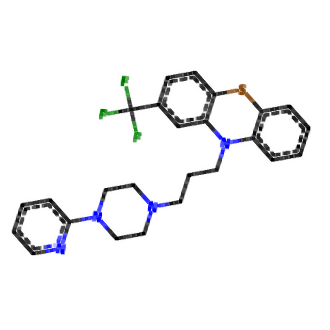 FC(F)(F)c1ccc2c(c1)N(CCCN1CCN(c3ccccn3)CC1)c1ccccc1S2